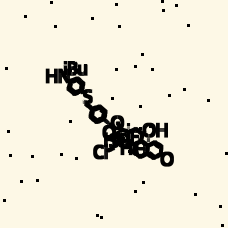 CCC(C)Nc1ccc(SCc2ccc([C@@H]3O[C@@H]4C[C@H]5[C@@H]6CCC7=CC(=O)C=C[C@]7(C)[C@@]6(F)[C@@H](O)C[C@]5(C)[C@]4(C(=O)SCCl)O3)cc2)cc1